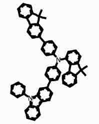 CC1(C)c2ccccc2-c2ccc(-c3ccc(N(c4ccc(-c5ccc6c7ccccc7n(-c7ccccc7)c6c5)cc4)c4cccc5c4-c4ccccc4C5(C)C)cc3)cc21